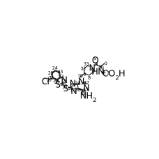 C[C@@H](NC(=O)O)C(=O)N1CCC(Cn2cnc(N)c3nc(Sc4nc5cccc(Cl)c5s4)nc2-3)CC1